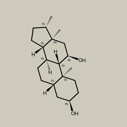 C[C@H]1CC[C@H]2[C@@H]3CC[C@H]4C[C@H](O)CC[C@]4(C)[C@H]3[C@H](O)C[C@]12C